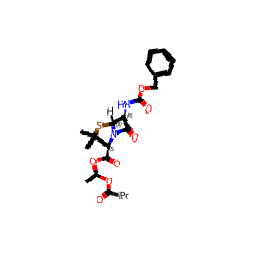 CC(OC(=O)C(C)C)OC(=O)[C@@H]1N2C(=O)[C@@H](NC(=O)OCc3ccccc3)[C@H]2SC1(C)C